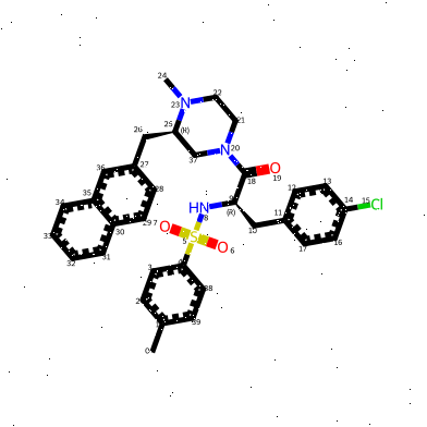 Cc1ccc(S(=O)(=O)N[C@H](Cc2ccc(Cl)cc2)C(=O)N2CCN(C)[C@H](Cc3ccc4ccccc4c3)C2)cc1